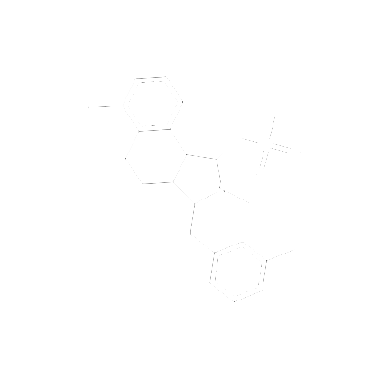 Cc1cccc(CC2C3CCc4c(cccc4C(F)(F)F)C3C(OS(C)(=O)=O)N2C)c1